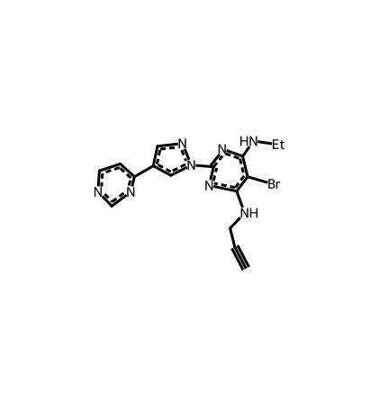 C#CCNc1nc(-n2cc(-c3ccncn3)cn2)nc(NCC)c1Br